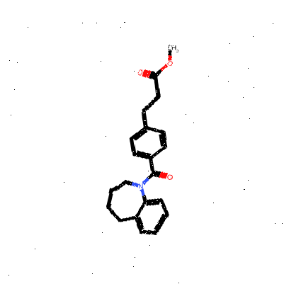 COC(=O)CCc1ccc(C(=O)N2CCCCc3ccccc32)cc1